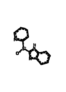 [O-][S+](c1ccccn1)c1nc2ccccc2[nH]1